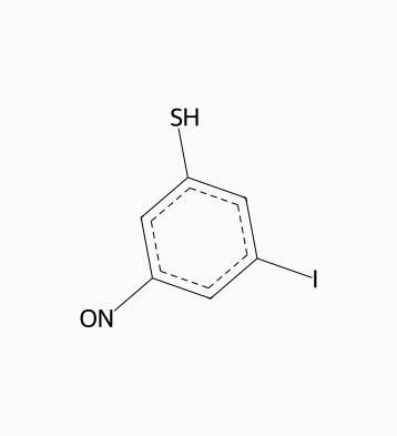 O=Nc1cc(S)cc(I)c1